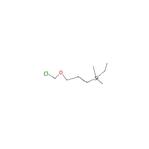 CC[Si](C)(C)CCCOCCl